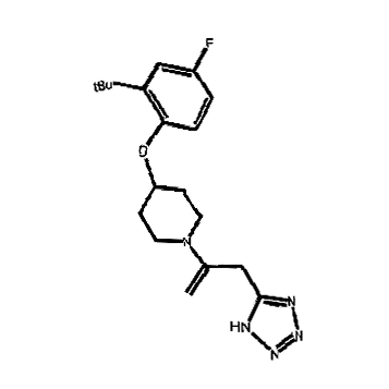 C=C(Cc1nnn[nH]1)N1CCC(Oc2ccc(F)cc2C(C)(C)C)CC1